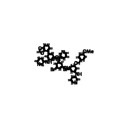 COc1ccc(COc2cc(Br)cc(Nc3cccnc3)c2)cc1.Oc1cc(Br)cc(Nc2cccnc2)c1.Oc1cc(Nc2cccnc2)cc(-c2cccc3c2OCO3)c1